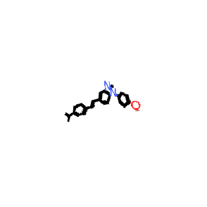 COc1ccc(-n2cnc3cc(/C=C/c4ccc(C(C)C)cc4)ccc32)cc1